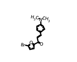 CN(C)c1ccc(/C=C/C(=O)c2ccc(Br)o2)cc1